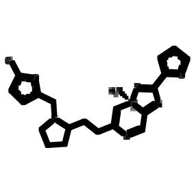 N[N@@+]12C=C(CCC3CCCN3Cc3ccc(Cl)o3)N=CC1=NC(c1ccco1)=N2